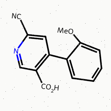 COc1ccccc1-c1cc(C#N)ncc1C(=O)O